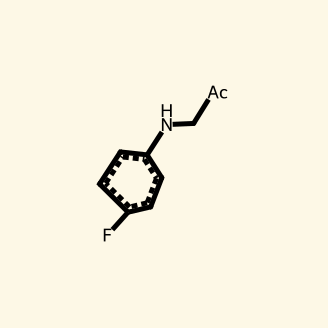 CC(=O)CNc1ccc(F)cc1